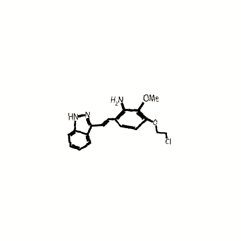 COc1c(OCCCl)ccc(/C=C/c2n[nH]c3ccccc23)c1N